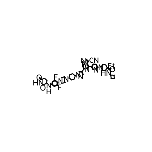 CCC1(C(=O)NC2CCC2)CCN(c2ccc(-c3nc(-c4cnn(C5CCC(N6CCN(c7c(F)cc(NC8CCC(=O)NC8=O)cc7F)CC6)CC5)c4)cn4ncc(C#N)c34)cn2)CC1